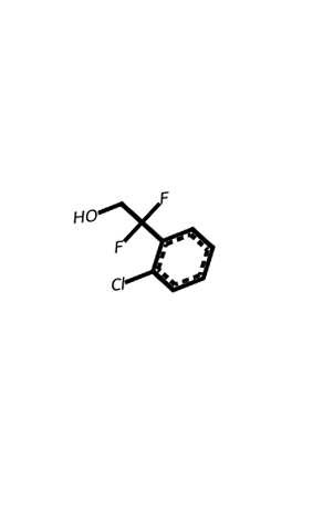 OCC(F)(F)c1ccccc1Cl